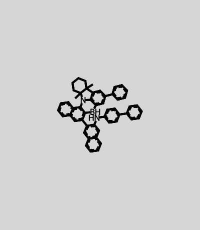 CC12CCCCC1(C)N1c3c(cc(-c4ccccc4)cc32)Bc2c(-c3cc4ccccc4cc3Nc3ccc(-c4ccccc4)cc3)cc3ccccc3c21